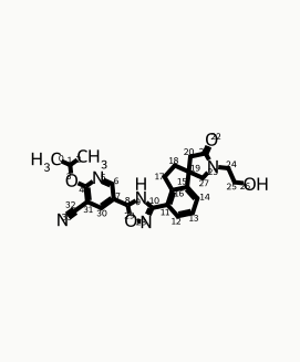 CC(C)Oc1ncc(C2NC(c3cccc4c3CCC43CC(=O)N(CCO)C3)=NO2)cc1C#N